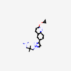 CN(C)CC(C)(C)Cn1ccc(-c2ccc3nc(OC4CC4)ccc3c2)n1